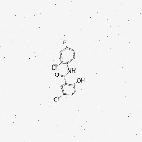 O=C(Nc1ccc(F)cc1Cl)c1cc(Cl)ccc1O